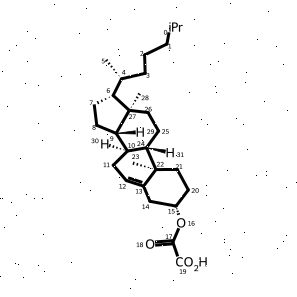 CC(C)CCC[C@@H](C)[C@H]1CC[C@H]2[C@@H]3CC=C4C[C@@H](OC(=O)C(=O)O)CC[C@]4(C)[C@H]3CC[C@]12C